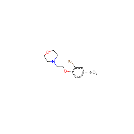 O=[N+]([O-])c1ccc(OCCN2CCOCC2)c(Br)c1